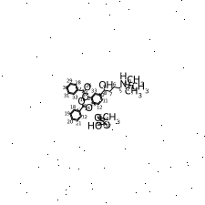 CC(C)(C)NCCCC(O)c1ccc(OC(=O)c2ccccc2)c(OC(=O)c2ccccc2)c1.CS(=O)(=O)O